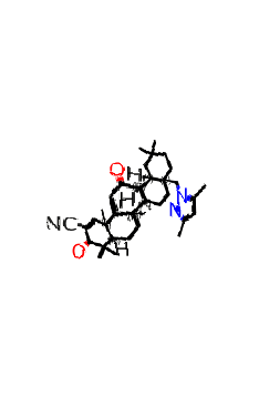 Cc1cc(C)n(C[C@]23CCC(C)(C)C[C@H]2[C@H]2C(=O)C=C4[C@@]5(C)C=C(C#N)C(=O)C(C)(C)[C@@H]5CC[C@@]4(C)[C@]2(C)CC3)n1